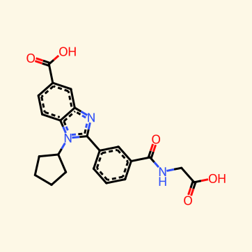 O=C(O)CNC(=O)c1cccc(-c2nc3cc(C(=O)O)ccc3n2C2CCCC2)c1